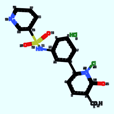 Cl.O=C(O)c1ccc(-c2cccc(NS(=O)(=O)c3cccnc3)c2)n(Cl)c1=O